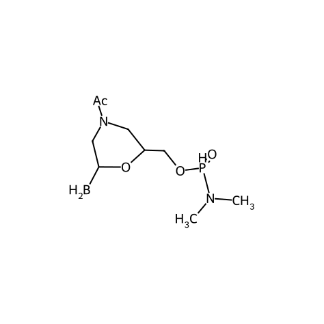 BC1CN(C(C)=O)CC(CO[PH](=O)N(C)C)O1